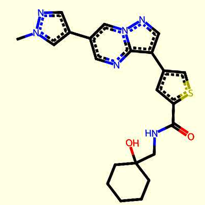 Cn1cc(-c2cnc3c(-c4csc(C(=O)NCC5(O)CCCCC5)c4)cnn3c2)cn1